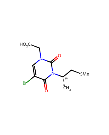 CSC[C@H](C)n1c(=O)c(Br)cn(CC(=O)O)c1=O